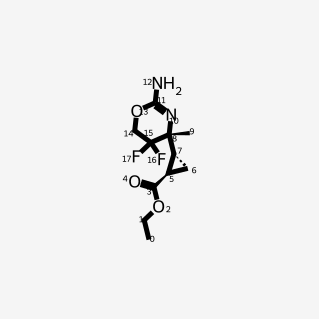 CCOC(=O)[C@@H]1C[C@H]1[C@@]1(C)N=C(N)OCC1(F)F